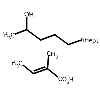 CC=C(C)C(=O)O.CCCCCCCCCCC(C)O